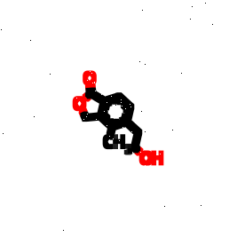 Cc1c(CCO)ccc2c1COC2=O